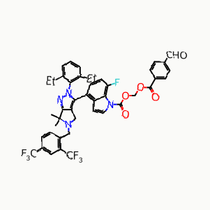 CCc1cccc(CC)c1-n1nc2c(c1-c1ccc(F)c3c1ccn3C(=O)OCOC(=O)c1ccc(C=O)cc1)CN(Cc1ccc(C(F)(F)F)cc1C(F)(F)F)C2(C)C